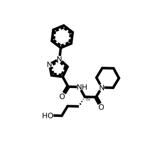 O=C(N[C@@H](CCCO)C(=O)N1CCCCC1)c1cnn(-c2ccccc2)c1